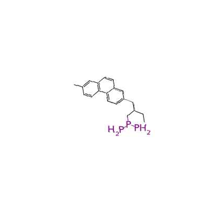 CCC(Cc1ccc2c(ccc3cc(C)ccc32)c1)CP(P)P